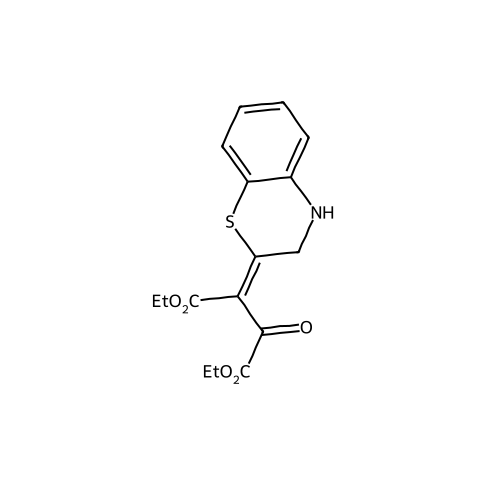 CCOC(=O)C(=O)C(C(=O)OCC)=C1CNc2ccccc2S1